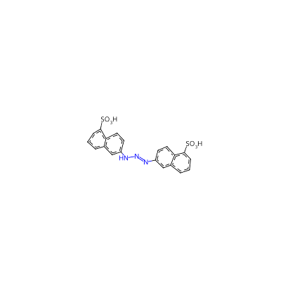 O=S(=O)(O)c1cccc2cc(/N=N/Nc3ccc4c(S(=O)(=O)O)cccc4c3)ccc12